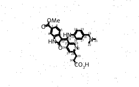 COC(=O)c1ccc2c(c1)NC(=O)C2=C(Nc1ccc(CN(C)C)cc1)c1ccc(CCC(=O)O)nc1